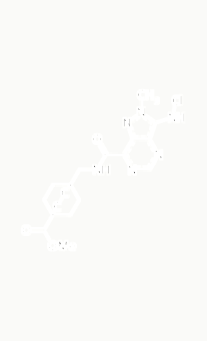 COC(=O)C12CCC(CNC(=O)c3ncnc4c(NCl)n(C)nc34)(CC1)CC2